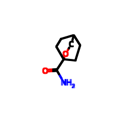 NC(=O)C12CCC(CC1)CO2